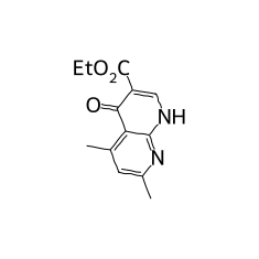 CCOC(=O)c1c[nH]c2nc(C)cc(C)c2c1=O